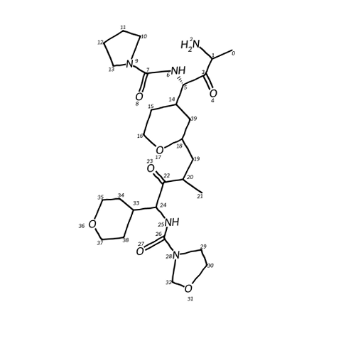 CC(N)C(=O)[C@@H](NC(=O)N1CCCC1)C1CCOC(CC(C)C(=O)C(NC(=O)N2CCOC2)C2CCOCC2)C1